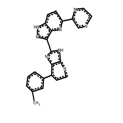 Cc1cccc(-c2ccnc3[nH]c(-c4n[nH]c5ccc(-c6cnccn6)nc45)nc23)c1